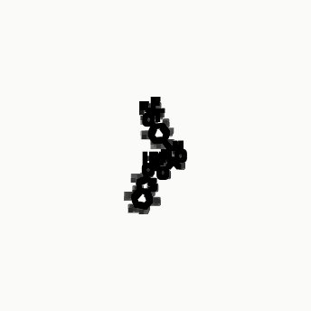 CC1(C)ON=C(c2ccc(OC(F)(F)F)cc2)N1NC(=O)Oc1cc2ccccc2s1